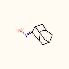 ON=C1C2CC3CC(C2)CC1C3